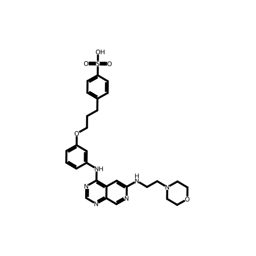 O=S(=O)(O)c1ccc(CCCOc2cccc(Nc3ncnc4cnc(NCCN5CCOCC5)cc34)c2)cc1